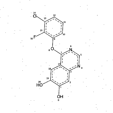 Oc1cc2ncnc(Oc3cccc(Cl)c3F)c2cc1O